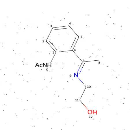 CC(=O)Nc1ccccc1C(C)=NCCO